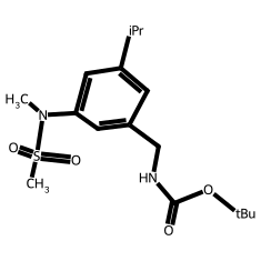 CC(C)c1cc(CNC(=O)OC(C)(C)C)cc(N(C)S(C)(=O)=O)c1